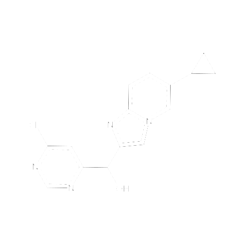 OC(c1cc(Cl)ncn1)c1cn2cc(C3CC3)ccc2n1